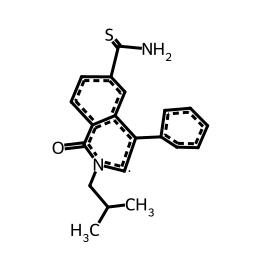 CC(C)Cn1[c]c(-c2ccccc2)c2cc(C(N)=S)ccc2c1=O